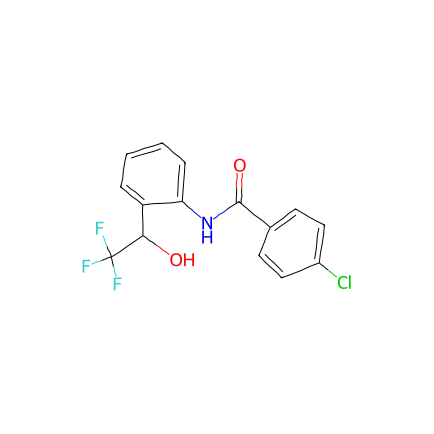 O=C(Nc1ccccc1C(O)C(F)(F)F)c1ccc(Cl)cc1